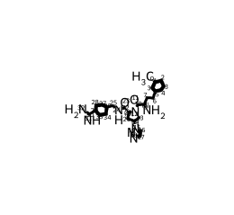 Cc1cccc(CC[C@@H](N)C(=O)N2C[C@@H](n3ccnn3)C[C@H]2C(=O)NCc2ccc(C(=N)N)cc2)c1